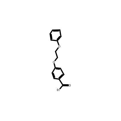 CCC(=O)c1ccc(OCCOc2ccccc2)cc1